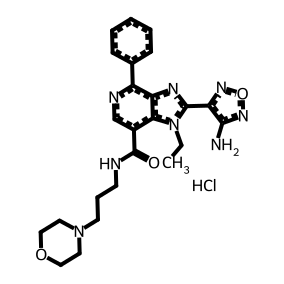 CCn1c(-c2nonc2N)nc2c(-c3ccccc3)ncc(C(=O)NCCCN3CCOCC3)c21.Cl